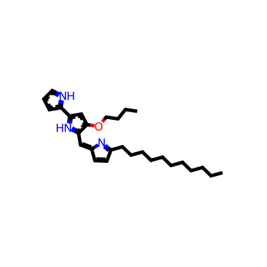 CCCCCCCCCCCC1=NC(=Cc2[nH]c(-c3ccc[nH]3)cc2OCCCC)C=C1